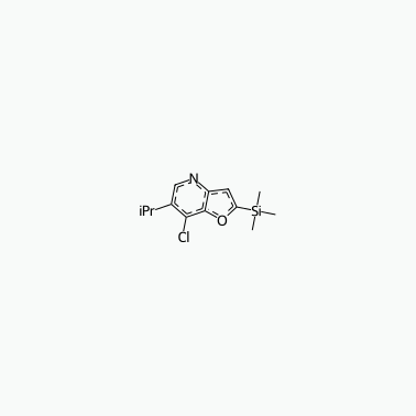 CC(C)c1cnc2cc([Si](C)(C)C)oc2c1Cl